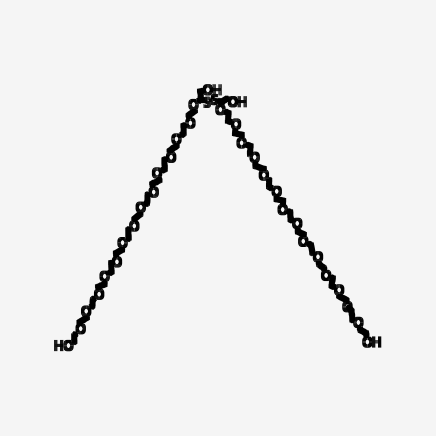 OCCOCCOCCOCCOCCOCCOCCOCCOCCOCCOCCOCCOCCOCCOC(CO)SSC(CO)OCCOCCOCCOCCOCCOCCOCCOCCOCCOCCOCCOCCOCCOCCO